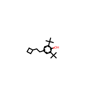 CC(C)(C)c1cc(CCC2CCC2)cc(C(C)(C)C)c1O